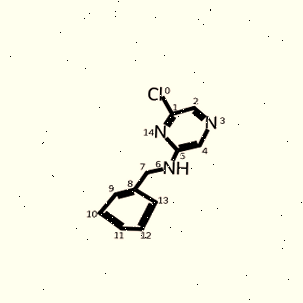 Clc1cncc(NCc2ccccc2)n1